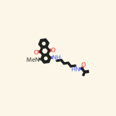 C=C(C)C(=O)NCCCCCCNc1ccc(NC)c2c1C(=O)c1ccccc1C2=O